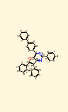 c1ccc(-c2ccc(-c3nc(-c4ccccc4)nc4c3oc3c5ccccc5c5ccccc5c43)cc2)cc1